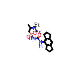 CCN(C(C)=O)C(C)CS(=O)(=O)NC(=O)Nc1c2c(cc3c1CCC3)CCC2